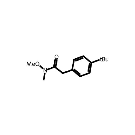 CON(C)C(=O)Cc1ccc(C(C)(C)C)cc1